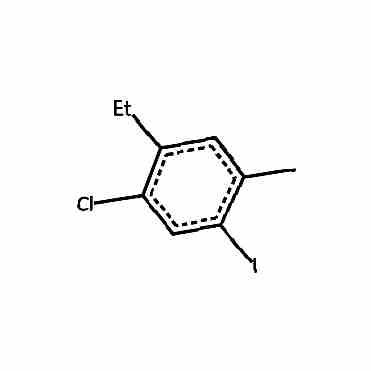 CCc1cc(C)c(I)cc1Cl